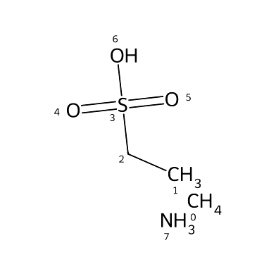 C.CCS(=O)(=O)O.N